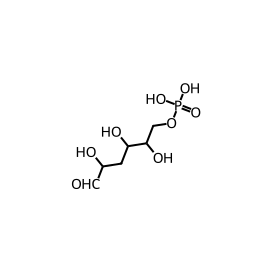 O=CC(O)CC(O)C(O)COP(=O)(O)O